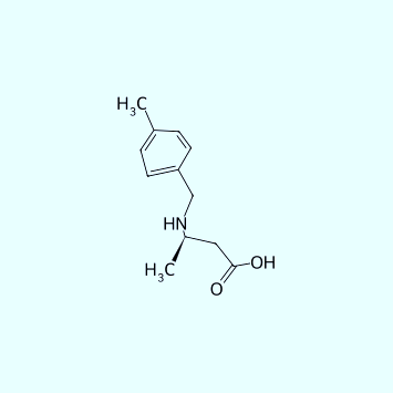 Cc1ccc(CN[C@H](C)CC(=O)O)cc1